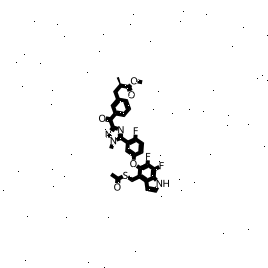 COC(=O)[C@H](C)Cc1cccc(C(=O)c2nc(-c3cc(Oc4c(F)c(F)c5[nH]ccc5c4CSC(C)=O)ccc3F)n(C)n2)c1